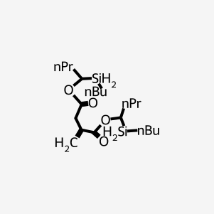 C=C(CC(=O)OC(CCC)[SiH2]CCCC)C(=O)OC(CCC)[SiH2]CCCC